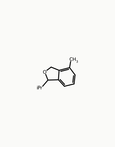 Cc1cccc2c1COC2C(C)C